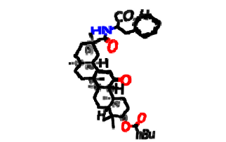 CCCCC(=O)O[C@H]1CC[C@]2(C)[C@H]3C(=O)C=C4[C@@H]5C[C@@](C)(C(=O)NC(Cc6ccccc6)C(=O)O)CC[C@]5(C)CC[C@@]4(C)[C@]3(C)CC[C@H]2C1(C)C